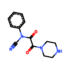 N#CN(C(=O)C(=O)N1CCNCC1)c1ccccc1